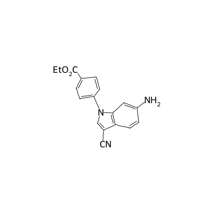 CCOC(=O)c1ccc(-n2cc(C#N)c3ccc(N)cc32)cc1